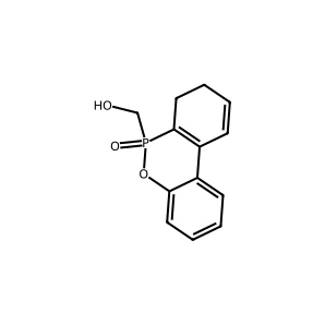 O=P1(CO)Oc2ccccc2C2=C1CCC=C2